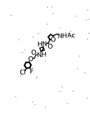 CC(=O)NCc1ccc(C(=O)NC23CC(NC(=O)COc4ccc(Cl)c(F)c4)(C2)C3)o1